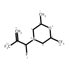 C=C(C(F)N1CC(C)OC(C(F)(F)F)C1)C(F)(F)F